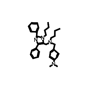 CCCCN(Cc1ccc(N(C)C)cc1)Cc1c(-c2ccccc2)nc(-c2ccccc2)n1CCCC